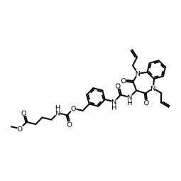 C=CCN1C(=O)C(NC(=O)Nc2cccc(COC(=O)NCCCC(=O)OC)c2)C(=O)N(CC=C)c2ccccc21